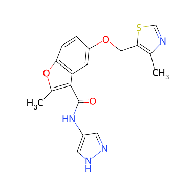 Cc1ncsc1COc1ccc2oc(C)c(C(=O)Nc3cn[nH]c3)c2c1